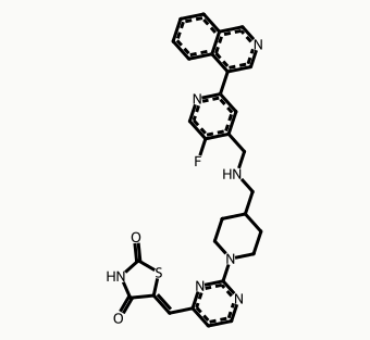 O=C1NC(=O)C(=Cc2ccnc(N3CCC(CNCc4cc(-c5cncc6ccccc56)ncc4F)CC3)n2)S1